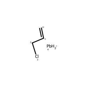 C=CCCl.[PbH2]